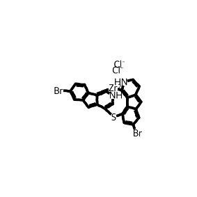 Brc1ccc2c3[c]4[nH]cc(c-3cc2c1)Sc1cc(Br)cc2cc3cc[nH][c](c-3c12)[Zr+2]4.[Cl-].[Cl-]